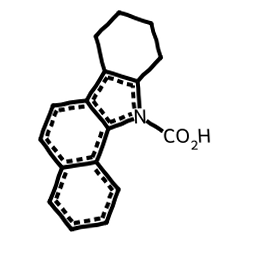 O=C(O)n1c2c(c3ccc4ccccc4c31)CCCC2